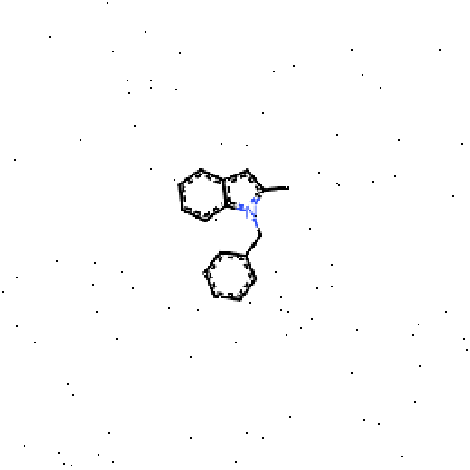 Cc1cc2ccccc2n1Cc1ccccc1